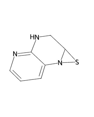 c1cnc2c(c1)N1SC1CN2